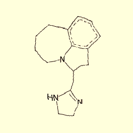 c1cc2c3c(c1)CC(C1=NCCN1)N3CCCC2